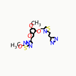 COc1cc(OCc2csc(C=Cc3cncnc3)n2)c2cc(-c3cnc4sc(OC)nn34)oc2c1